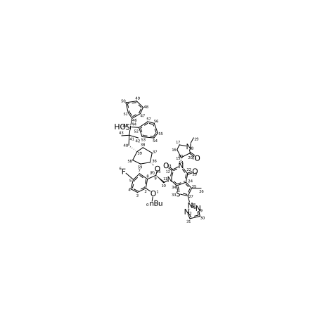 CCCCOc1ccc(F)cc1[C@H](Cn1c(=O)n([C@@H]2CCN(C)C2=O)c(=O)c2c(C)c(-n3nccn3)sc21)O[C@H]1CC[C@@H](CC(C)(C)[Si](O)(c2ccccc2)c2ccccc2)CC1